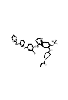 [2H]C([2H])([2H])Oc1cc2ncnc(Nc3ccc(Oc4ccnc(Nc5nccs5)c4)cc3F)c2cc1NC1CCN(C(=O)C=C)CC1